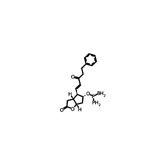 BP(P)O[C@@H]1C[C@@H]2OC(=O)C[C@@H]2[C@H]1/C=C/C(=O)CCc1ccccc1